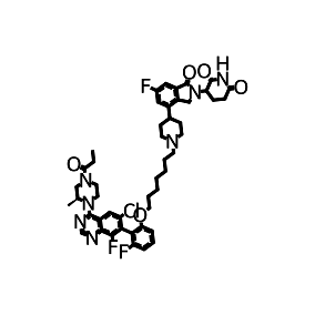 CCC(=O)N1CCN(c2ncnc3c(F)c(-c4c(F)cccc4OCCCCCCCN4CCC(c5cc(F)cc6c5CN(C5CCC(=O)NC5=O)C6=O)CC4)c(Cl)cc23)[C@@H](C)C1